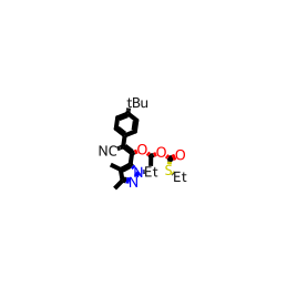 CCSC(=O)OC(C)O/C(=C(/C#N)c1ccc(C(C)(C)C)cc1)c1c(C)c(C)nn1CC